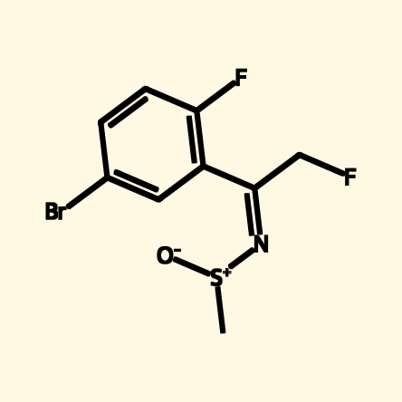 C[S+]([O-])/N=C(/CF)c1cc(Br)ccc1F